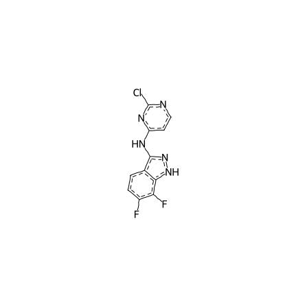 Fc1ccc2c(Nc3ccnc(Cl)n3)n[nH]c2c1F